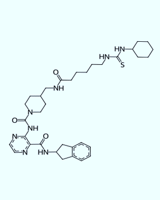 O=C(CCCCCNC(=S)NC1CCCCC1)NCC1CCN(C(=O)Nc2nccnc2C(=O)NC2Cc3ccccc3C2)CC1